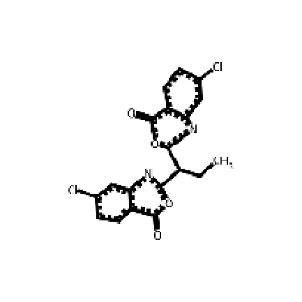 CCC(c1nc2cc(Cl)ccc2c(=O)o1)c1nc2cc(Cl)ccc2c(=O)o1